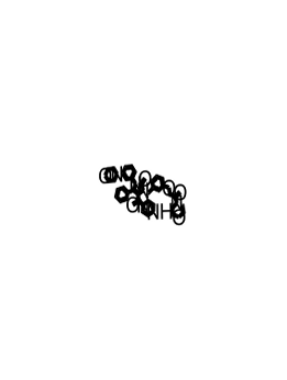 O=C(COc1cccc(Cn2c(C(=O)N3CCNCC3)c(-c3ccccc3)n(-c3cccc(N4CCOCC4)c3)c2=O)c1)N1CCOCC1